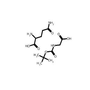 CC(C)(C)OC(=O)NCC(=O)O.NC(=O)CCC(N)C(=O)O